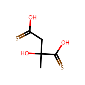 CC(O)(CC(O)=S)C(O)=S